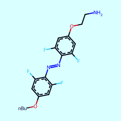 CCCCOc1cc(F)c(N=Nc2c(F)cc(OCCN)cc2F)c(F)c1